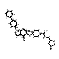 O=C(OCC1CCNC1)N1CCC(O)(Cn2cnc3c(cnn3-c3ccc(-c4ccccc4)cc3)c2=O)CC1